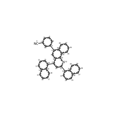 N#Cc1cccc(-c2cc3c(-c4cccc5ccccc45)cc(-c4cccc5ccccc45)nc3c3ccccc23)c1